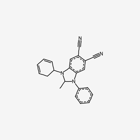 CC1N(c2ccccc2)c2cc(C#N)c(C#N)cc2N1C1C=CC=CC1